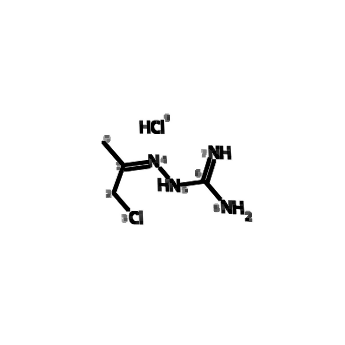 CC(CCl)=NNC(=N)N.Cl